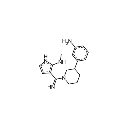 CNc1[nH]ccc1C(=N)N1CCCC(c2cccc(N)c2)C1